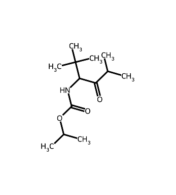 CC(C)OC(=O)NC(C(=O)C(C)C)C(C)(C)C